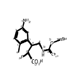 Cc1ccc(N)cc1C(CNC(=O)OC(C)(C)C)C(F)C(=O)O